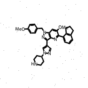 COc1ccc(Cn2nc(-c3cnn(C4CCNCC4)c3)c3nc(-c4cccc5c4CCC5)c(OC)cc32)cc1